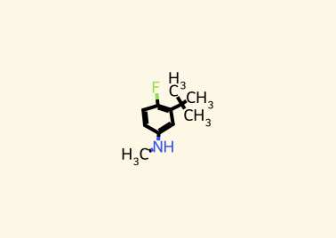 CNc1ccc(F)c(C(C)(C)C)c1